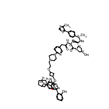 Cc1ncsc1-c1ccc([C@H](C)NC(=O)[C@@H]2C[C@@H](O)CN2C(=O)[C@@H](NC(=O)Cc2ccc(N3CCN(CCOC4CC(Oc5cc(N6C7CC[C@@H]6CN(c6cc(-c8ccccc8O)nnc6N)C7)ccn5)C4)CC3)nc2)C(C)(C)C)cc1